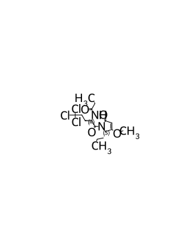 CCC[C@H]1C(OC)=CC(=O)N1C(=O)[C@@H](CCC(Cl)(Cl)Cl)NC(=O)CC